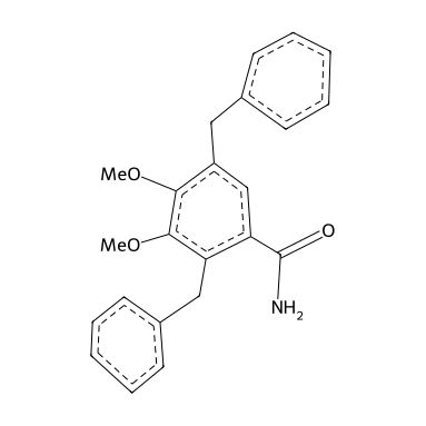 COc1c(Cc2ccccc2)cc(C(N)=O)c(Cc2ccccc2)c1OC